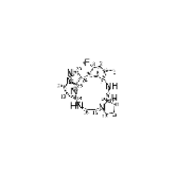 Cc1cc(F)c2cc1NC[C@@H]1CCCN1CCNc1ccn3ncc-2c3n1